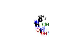 Cc1cccc(-n2ncc3cnc(NC(=O)C(N)CO)cc32)c1.Cl